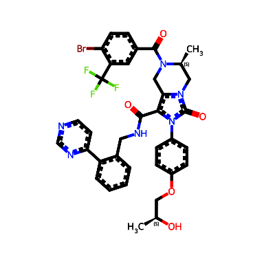 C[C@H](O)COc1ccc(-n2c(C(=O)NCc3ccccc3-c3ccncn3)c3n(c2=O)C[C@H](C)N(C(=O)c2ccc(Br)c(C(F)(F)F)c2)C3)cc1